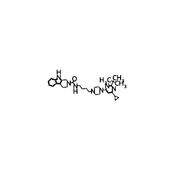 CC(C)(C)c1nc(C2CC2)cc(N2CCN(CCCCNC(=O)N3CCc4c([nH]c5ccccc45)C3)CC2)n1